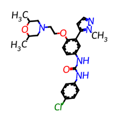 CC1CN(CCOc2ccc(NC(=O)Nc3ccc(Cl)cc3)cc2-c2ccnn2C)CC(C)O1